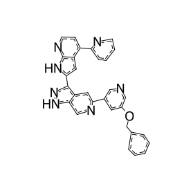 c1ccc(COc2cncc(-c3cc4c(-c5cc6c(-c7ccccn7)ccnc6[nH]5)n[nH]c4cn3)c2)cc1